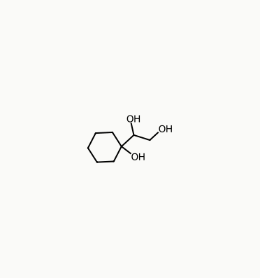 OCC(O)C1(O)CCCCC1